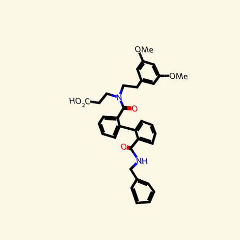 COc1cc(CCN(CCC(=O)O)C(=O)c2ccccc2-c2ccccc2C(=O)NCc2ccccc2)cc(OC)c1